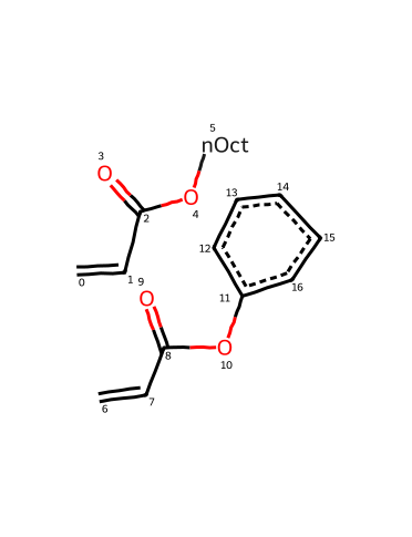 C=CC(=O)OCCCCCCCC.C=CC(=O)Oc1ccccc1